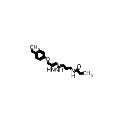 CCC(=O)NCCCN1C=C(COc2ccc(CC)cc2)NN1